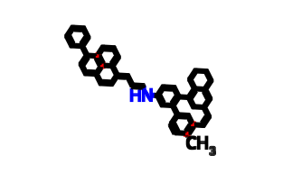 C/C=C\C=C/C1C=C2CCCCC2=C(c2ccc(N/C=C/C=C(\C=C/c3ccc(-c4ccccc4)cc3)c3ccccc3)cc2-c2c#cccc2)C1